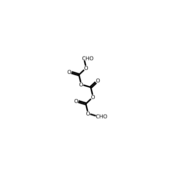 O=COC(=O)OC(=O)OC(=O)OC=O